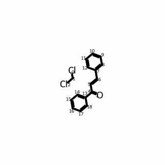 ClCCl.O=C(C=Cc1ccccc1)c1ccccc1